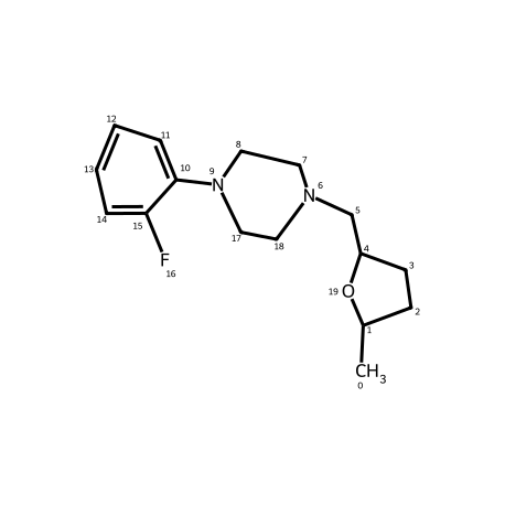 CC1CCC(CN2CCN(c3ccccc3F)CC2)O1